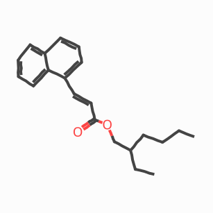 CCCCC(CC)COC(=O)C=Cc1cccc2ccccc12